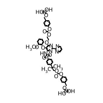 COc1ccccc1Oc1c(NS(=O)(=O)c2ccc(C(C)(C)COC(=O)Oc3ccc(CON(O)O)cc3)cc2)nc(-c2ncccn2)nc1OCCOC(=O)Oc1ccc(CON(O)O)cc1